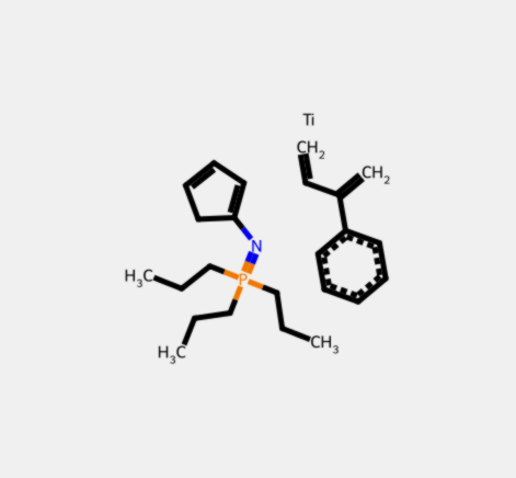 C=CC(=C)c1ccccc1.CCCP(CCC)(CCC)=NC1=CC=CC1.[Ti]